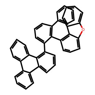 c1ccc(-c2cccc(-c3cccc4c5ccccc5c5ccccc5c34)c2-c2cccc3oc4ccccc4c23)cc1